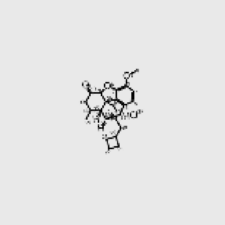 COc1ccc2c3c1OC1C(=O)CC(C)[C@H]4[C@@H](C2)N(CC2CCC2)CC[C@]314.Cl